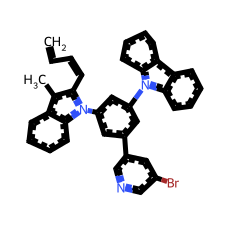 C=C/C=C\c1c(C)c2ccccc2n1-c1cc(-c2cncc(Br)c2)cc(-n2c3ccccc3c3ccccc32)c1